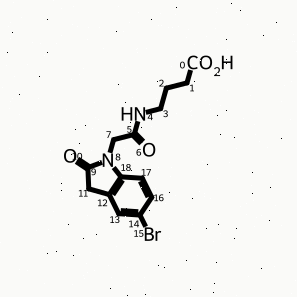 O=C(O)CCCNC(=O)CN1C(=O)Cc2cc(Br)ccc21